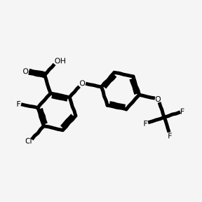 O=C(O)c1c(Oc2ccc(OC(F)(F)F)cc2)ccc(Cl)c1F